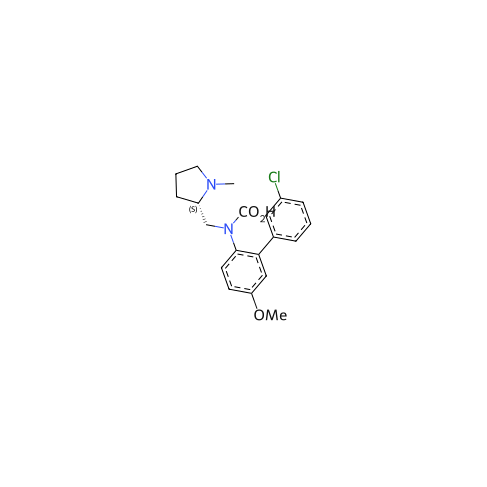 COc1ccc(N(C[C@@H]2CCCN2C)C(=O)O)c(-c2cccc(Cl)c2)c1